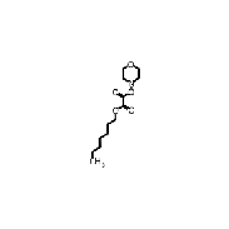 CCCCCCCOC(=O)C(=O)ON1CCOCC1